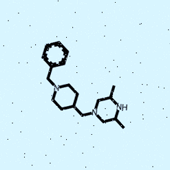 CC1CN(CC2CCN(Cc3ccccc3)CC2)CC(C)N1